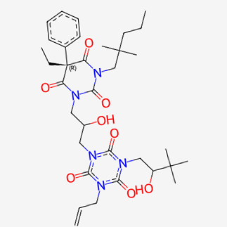 C=CCn1c(=O)n(CC(O)CN2C(=O)N(CC(C)(C)CCC)C(=O)[C@@](CC)(c3ccccc3)C2=O)c(=O)n(CC(O)C(C)(C)C)c1=O